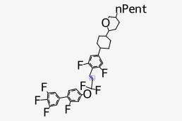 CCCCCC1CCC(C2CCC(c3cc(F)c(/C=C/C(F)(F)Oc4ccc(-c5cc(F)c(F)c(F)c5)c(F)c4)c(F)c3)CC2)OC1